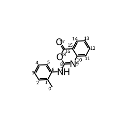 Cc1ccccc1Nc1nc2ccccc2c(=O)o1